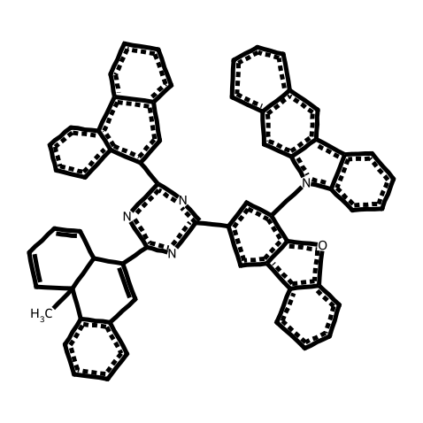 CC12C=CC=CC1C(c1nc(-c3cc(-n4c5ccccc5c5cc6ccccc6cc54)c4oc5ccccc5c4c3)nc(-c3cc4ccccc4c4ccccc34)n1)=Cc1ccccc12